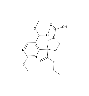 CCOC(=O)C1(c2nc(SC)ncc2C(OC)OC)CCN(C(=O)O)C1